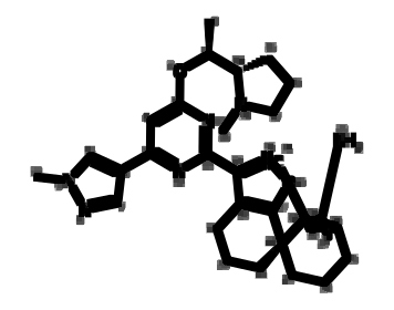 C[C@H](Oc1cc(-c2cnn(C)c2)nc(-c2noc3c2CCC[C@@]32CCCc3sc(N)c(C#N)c32)n1)[C@@H]1CCCN1C